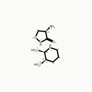 N[C@@H]1CONC1=O.O=C(O)[C@H]1NCCC[C@H]1C(=O)O